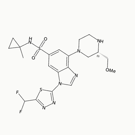 COC[C@@H]1CN(c2cc(S(=O)(=O)NC3(C)CC3)cc3c2ncn3-c2nnc(C(F)F)s2)CCN1